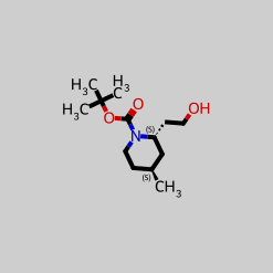 C[C@H]1CCN(C(=O)OC(C)(C)C)[C@H](CCO)C1